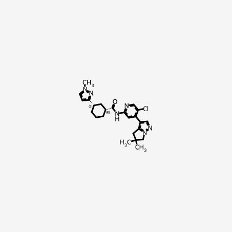 Cn1ccc([C@H]2CCC[C@@H](C(=O)Nc3cc(-c4cnn5c4CC(C)(C)C5)c(Cl)cn3)C2)n1